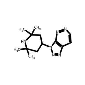 CC1(C)CC(n2nnc3ccnnc32)CC(C)(C)N1